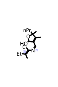 CCCC1(C)OC(O)C(/C=N\C(Cl)=C(/C)CC)=C1C